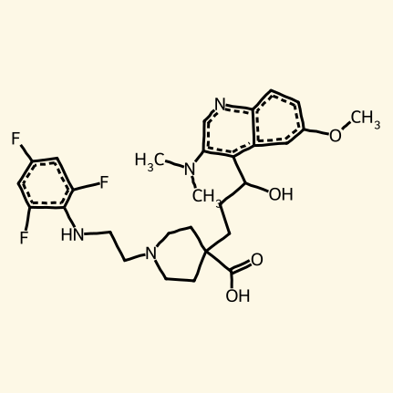 COc1ccc2ncc(N(C)C)c(C(O)CCC3(C(=O)O)CCN(CCNc4c(F)cc(F)cc4F)CC3)c2c1